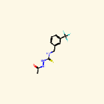 CC(=O)NNC(=S)NCc1cccc(C(F)(F)F)c1